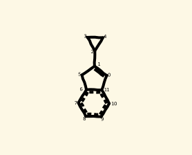 C1=C(C2CC2)Cc2ccccc21